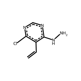 C=Cc1c(Cl)ncnc1NN